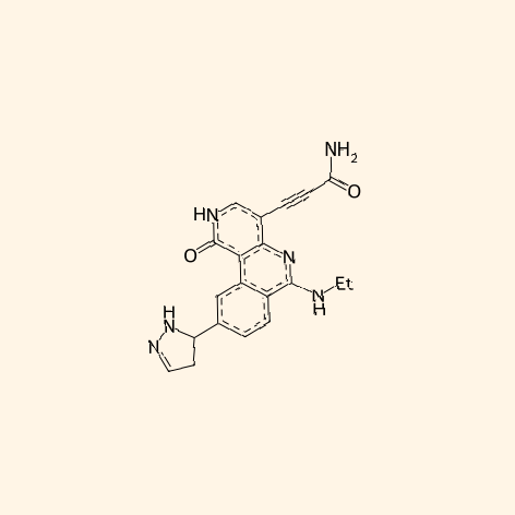 CCNc1nc2c(C#CC(N)=O)c[nH]c(=O)c2c2cc(C3CC=NN3)ccc12